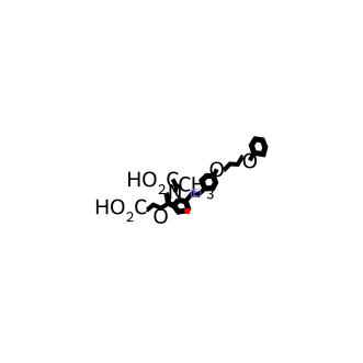 CC(C(=O)O)n1cc(C(=O)CCC(=O)O)c2cccc(/C=C/c3ccc(OCCCCOc4ccccc4)cc3)c21